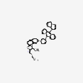 C=c1/c(=C\CCC)nc2ccc3ccc(-c4cccc(-c5c6ccccc6c(-c6cccc7ccccc67)c6ccccc56)c4)cc3n12